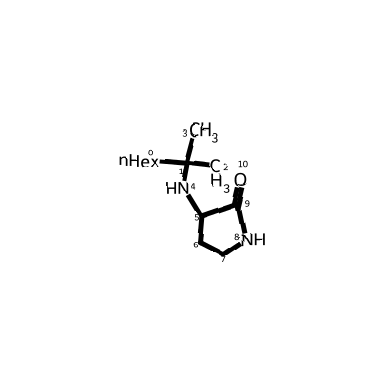 CCCCCCC(C)(C)NC1CCNC1=O